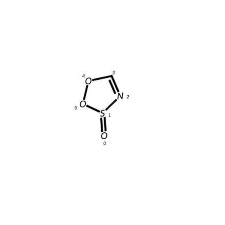 O=S1N=COO1